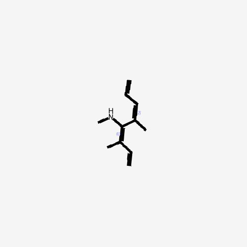 C=C/C=C(C)\C(NC)=C(\C)C=C